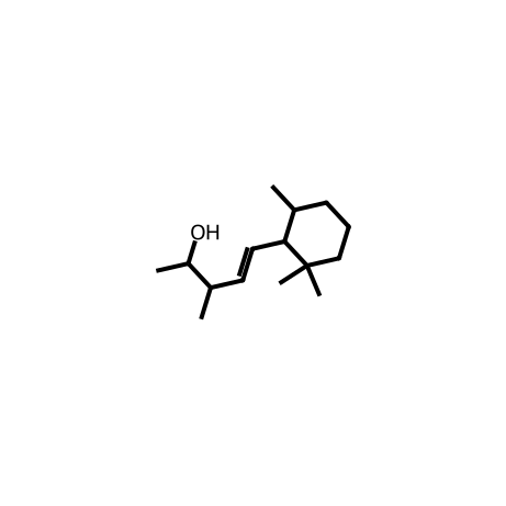 CC(O)C(C)C=CC1C(C)CCCC1(C)C